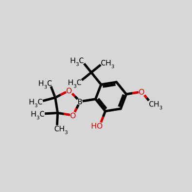 COc1cc(O)c(B2OC(C)(C)C(C)(C)O2)c(C(C)(C)C)c1